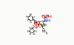 CC(C)(OP(=O)(OCc1ccccc1)OCc1ccccc1)C(F)CNC(=O)O